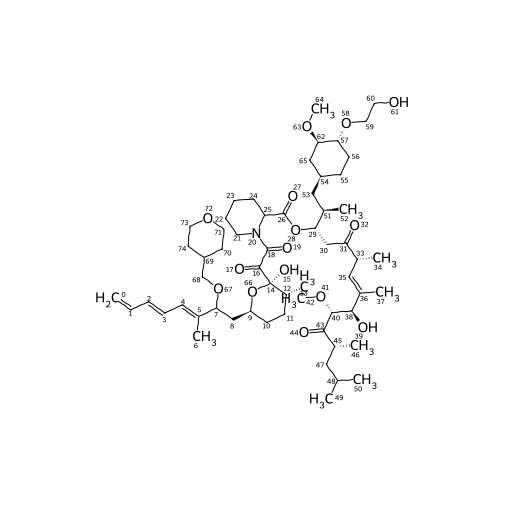 C=C/C=C/C=C(\C)C(C[C@@H]1CC[C@@H](C)[C@](O)(C(=O)C(=O)N2CCCCC2C(=O)O[C@@H](CC(=O)[C@H](C)/C=C(\C)[C@@H](O)[C@@H](OC)C(=O)[C@H](C)CC(C)C)[C@H](C)C[C@@H]2CC[C@@H](OCCO)[C@H](OC)C2)O1)OCC1CCOCC1